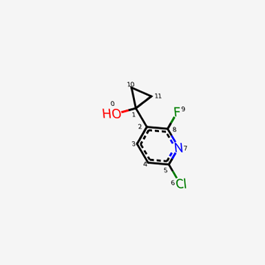 OC1(c2ccc(Cl)nc2F)CC1